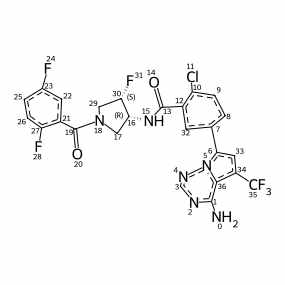 Nc1ncnn2c(-c3ccc(Cl)c(C(=O)N[C@@H]4CN(C(=O)c5cc(F)ccc5F)C[C@@H]4F)c3)cc(C(F)(F)F)c12